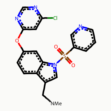 CNCc1cn(S(=O)(=O)c2cccnc2)c2cc(Oc3cc(Cl)ncn3)ccc12